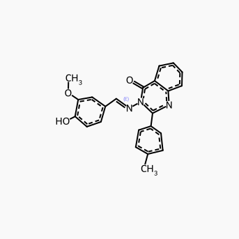 COc1cc(/C=N/n2c(-c3ccc(C)cc3)nc3ccccc3c2=O)ccc1O